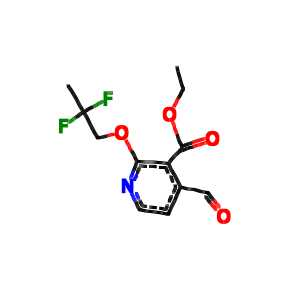 CCOC(=O)c1c(C=O)ccnc1OCC(C)(F)F